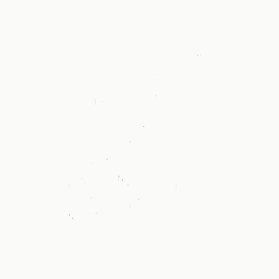 COCCCCOc1cc2c(cc1O)-c1cc(=O)c(C(=O)N=O)cn1C(C(C)C)C2